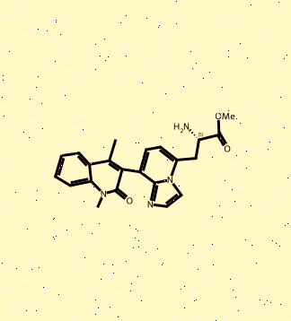 COC(=O)[C@@H](N)Cc1ccc(-c2c(C)c3ccccc3n(C)c2=O)c2nccn12